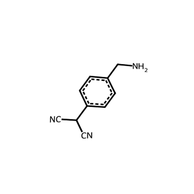 N#CC(C#N)c1ccc(CN)cc1